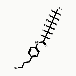 N#CCCCc1ccc(NC(=O)C(F)(F)C(F)(F)C(F)(F)C(F)(F)C(F)(F)C(F)(F)C(F)(F)F)cc1